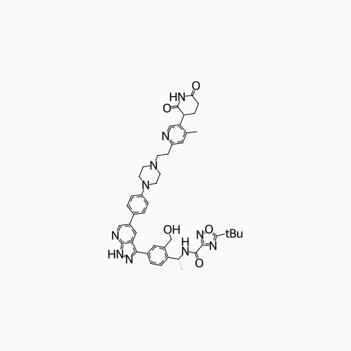 Cc1cc(CCN2CCN(c3ccc(-c4cnc5[nH]nc(-c6ccc([C@@H](C)NC(=O)c7noc(C(C)(C)C)n7)c(CO)c6)c5c4)cc3)CC2)ncc1C1CCC(=O)NC1=O